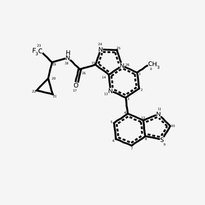 Cc1cc(-c2cccc3scnc23)nc2c(C(=O)NC(C3CC3)C(F)(F)F)ncn12